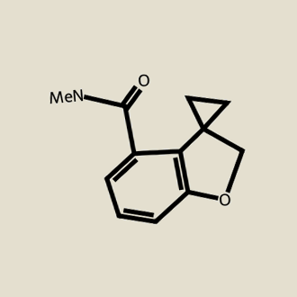 CNC(=O)c1cccc2c1C1(CC1)CO2